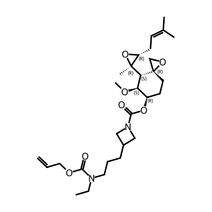 C=CCOC(=O)N(CC)CCCC1CN(C(=O)O[C@@H]2CC[C@]3(CO3)[C@@H]([C@@]3(C)O[C@@H]3CC=C(C)C)[C@@H]2OC)C1